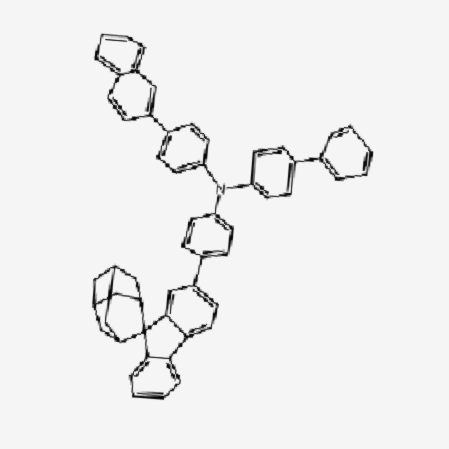 c1ccc(-c2ccc(N(c3ccc(-c4ccc5c(c4)C4(c6ccccc6-5)C5CC6CC(C5)CC4C6)cc3)c3ccc(-c4ccc5ccccc5c4)cc3)cc2)cc1